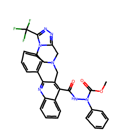 COC(=O)N(NC(=O)c1c(CN2CCn3c(nnc3C(F)(F)F)C2)c(-c2ccccc2)nc2ccccc12)c1ccccc1